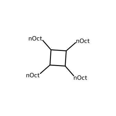 CCCCCCCCC1C(CCCCCCCC)C(CCCCCCCC)C1CCCCCCCC